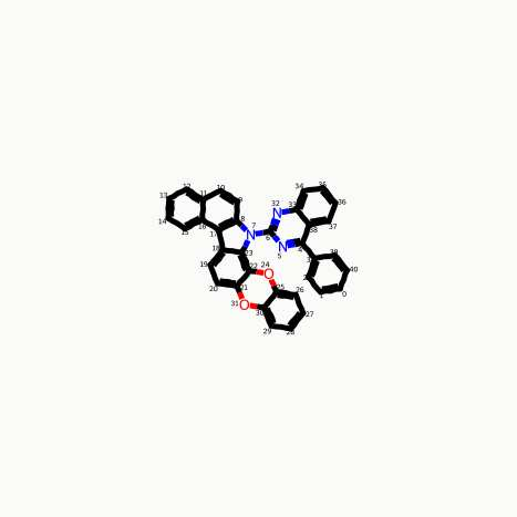 c1ccc(-c2nc(-n3c4ccc5ccccc5c4c4ccc5c(c43)Oc3ccccc3O5)nc3ccccc23)cc1